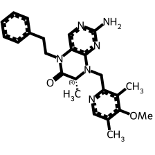 COc1c(C)cnc(CN2c3nc(N)ncc3N(CCc3ccccc3)C(=O)[C@H]2C)c1C